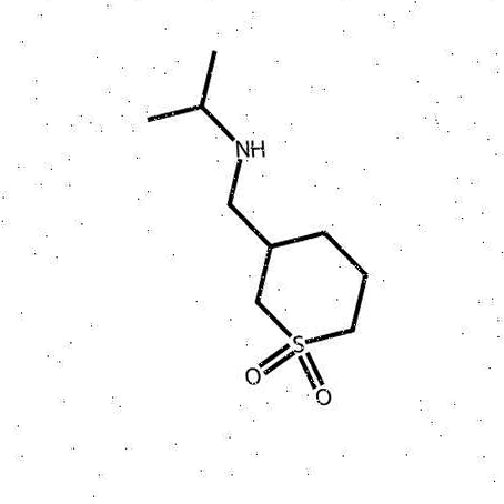 CC(C)NCC1CCCS(=O)(=O)C1